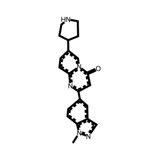 Cn1ncc2cc(-c3cc(=O)n4cc(C5CCNCC5)ccc4n3)ccc21